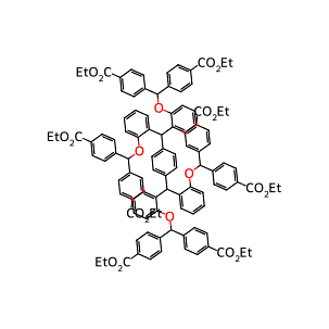 CCOC(=O)c1ccc(C(Oc2ccccc2C(c2ccc(C(c3ccccc3OC(c3ccc(C(=O)OCC)cc3)c3ccc(C(=O)OCC)cc3)c3ccccc3OC(c3ccc(C(=O)OCC)cc3)c3ccc(C(=O)OCC)cc3)cc2)c2ccccc2OC(c2ccc(C(=O)OCC)cc2)c2ccc(C(=O)OCC)cc2)c2ccc(C(=O)OCC)cc2)cc1